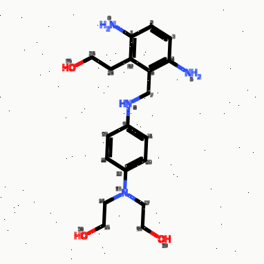 Nc1ccc(N)c(CNc2ccc(N(CCO)CCO)cc2)c1CCO